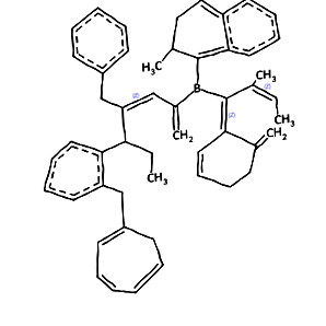 C=C(/C=C(/Cc1ccccc1)C(CC)c1ccccc1CC1=CC=CC=CC1)B(C1=c2ccccc2=CCC1C)C(/C(C)=C\C)=C1\C=CCCC1=C